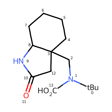 CC(C)(C)N(CC12CCCCC1NC(=O)C2)C(=O)O